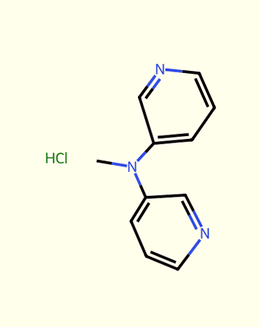 CN(c1cccnc1)c1cccnc1.Cl